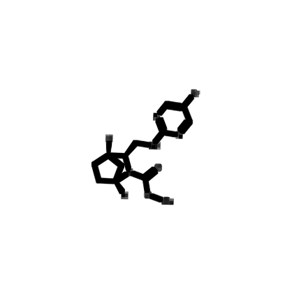 CC(C)(C)OC(=O)N1[C@@H]2CC[C@@H](C2)[C@H]1CNc1ncc(Br)cn1